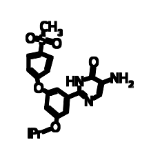 CC(C)Oc1cc(Oc2ccc(S(C)(=O)=O)cc2)cc(-c2ncc(N)c(=O)[nH]2)c1